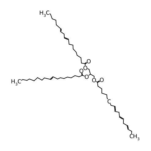 CC/C=C/C/C=C/C/C=C/CCCCCCCC(=O)OCC(COC(=O)CCCCCCC/C=C/C/C=C/CCCCC)OC(=O)CCCCCCC/C=C/CCCCCCCC